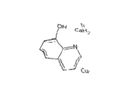 Oc1cccc2cccnc12.[CaH2].[Cu].[Ti]